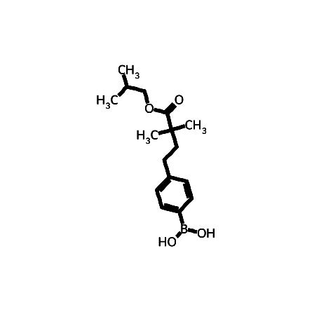 CC(C)COC(=O)C(C)(C)CCc1ccc(B(O)O)cc1